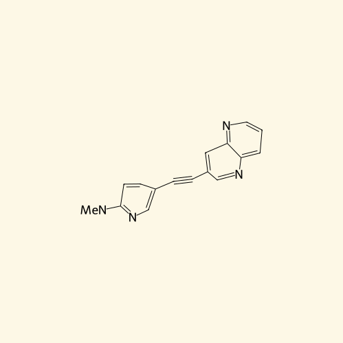 CNc1ccc(C#Cc2cnc3cccnc3c2)cn1